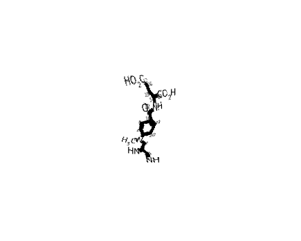 CN(CC(=N)C=N)c1ccc(C(=O)NC(CCC(=O)O)C(=O)O)cc1